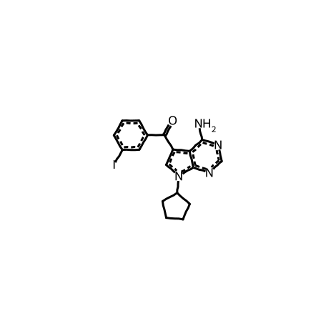 Nc1ncnc2c1c(C(=O)c1cccc(I)c1)cn2C1CCCC1